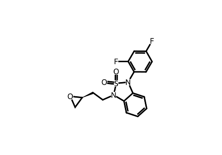 O=S1(=O)N(CC[C@H]2CO2)c2ccccc2N1c1ccc(F)cc1F